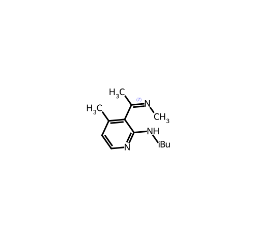 CCC(C)Nc1nccc(C)c1/C(C)=N\C